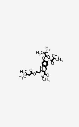 COC(=O)[C@H](Cc1ccc(OC(=O)C(C)C)c(OC(=O)C(C)C)c1)NCCOC(=O)CC(C)C